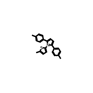 Cc1ccc(-c2ccc(-c3ccc(C)cc3)n2-c2ccc(C)s2)cc1